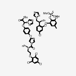 CC(C)(C)C(=O)C(Oc1ccc(Cl)cc1)n1cncn1.CCCC(Cn1cncn1)c1ccc(Cl)cc1Cl.CCCN(CCOc1c(Cl)cc(Cl)cc1Cl)C(=O)n1ccnc1.COP(=S)(OC)Oc1c(Cl)cc(C)cc1Cl